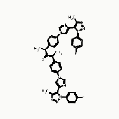 Cc1nnn(-c2ccc(F)cc2)c1-c1cn(-c2ccc(C(C)C(=O)C(C)c3ccc(-n4cnc(-c5c(C)nnn5-c5ccc(F)cc5)c4)cc3)cc2)cn1